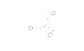 CNC(=O)[C@H](CCCc1ccccc1)NC(=O)C1CN(C(=O)CC2CNc3ncccc32)CC2CN(C(=O)c3ccc(OC(C)C)c(OC)c3)CC21